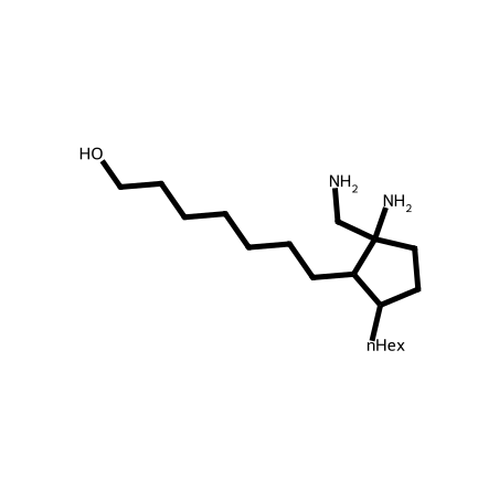 CCCCCCC1CCC(N)(CN)C1CCCCCCCO